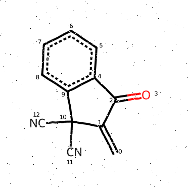 C=C1C(=O)c2ccccc2C1(C#N)C#N